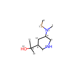 CSN(C)C1CNCC(C(C)(C)O)C1